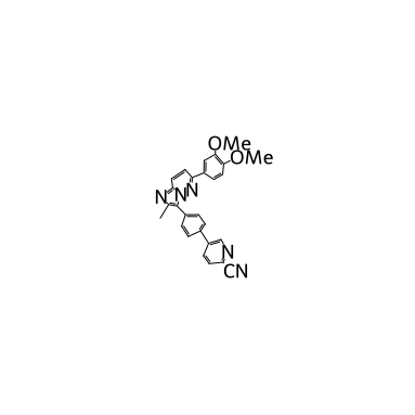 COc1ccc(-c2ccc3nc(C)c(-c4ccc(-c5ccc(C#N)nc5)cc4)n3n2)cc1OC